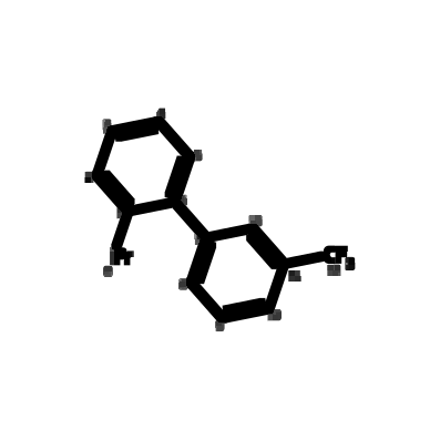 CC(C)c1c[c]ccc1-c1cccc(C(F)(F)F)c1